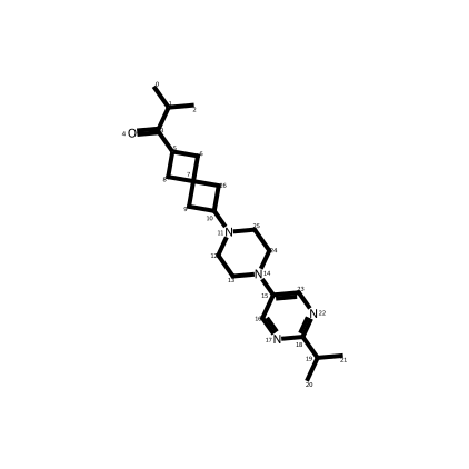 CC(C)C(=O)C1CC2(C1)CC(N1CCN(c3cnc(C(C)C)nc3)CC1)C2